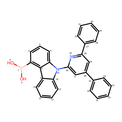 OB(O)c1cccc2c1c1ccccc1n2-c1cc(-c2ccccc2)cc(-c2ccccc2)n1